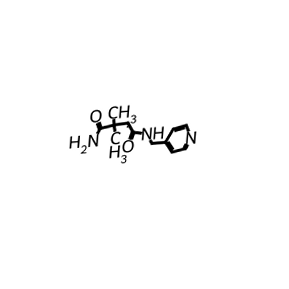 CC(C)([CH]C(=O)NCc1ccncc1)C(N)=O